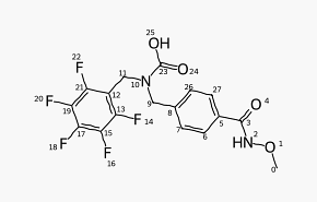 CONC(=O)c1ccc(CN(Cc2c(F)c(F)c(F)c(F)c2F)C(=O)O)cc1